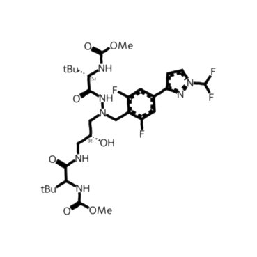 COC(=O)NC(C(=O)NC[C@@H](O)CN(Cc1c(F)cc(-c2ccn(C(F)F)n2)cc1F)NC(=O)[C@@H](NC(=O)OC)C(C)(C)C)C(C)(C)C